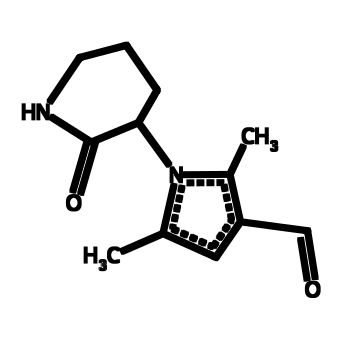 Cc1cc(C=O)c(C)n1C1CCCNC1=O